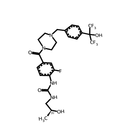 C[C@H](O)CNC(=O)Nc1ccc(C(=O)N2CCN(Cc3ccc(C(O)(C(F)(F)F)C(F)(F)F)cc3)CC2)cc1F